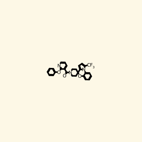 O=C(c1cccnc1Oc1ccccc1)N1CCC2(CC1)Oc1ccccc1-n1c(C(F)(F)F)ccc12